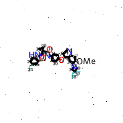 COc1cc2nccc(Oc3ccc(NC(=O)C4(C(=O)Nc5ccc(F)cc5)CC4)cc3)c2cc1N1CC(F)(F)C1